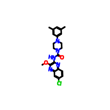 COc1nc2cc(Cl)ccc2nc1NC(=O)N1CCN(c2cc(C)cc(C)c2)CC1